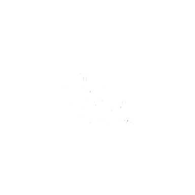 COc1cc(/C=C\c2ccc(C)c(O)c2)cc(C)c1C